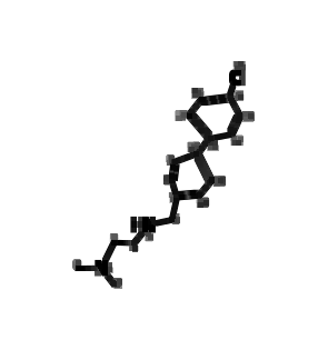 CN(C)CCNCc1ccc(-c2ccc(Cl)cc2)cc1